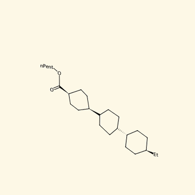 CCCCCOC(=O)[C@H]1CC[C@@H](C2CCC([C@H]3CC[C@H](CC)CC3)CC2)CC1